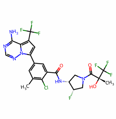 Cc1cc(-c2cc(C(F)(F)F)c3c(N)ncnn23)cc(C(=O)N[C@@H]2CN(C(=O)[C@@](C)(O)C(F)(F)F)C[C@@H]2F)c1Cl